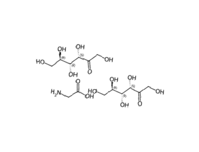 NCC(=O)O.O=C(CO)[C@@H](O)[C@H](O)[C@H](O)CO.O=C(CO)[C@@H](O)[C@H](O)[C@H](O)CO